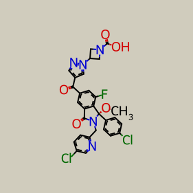 CO[C@]1(c2ccc(Cl)cc2)c2c(F)cc(C(=O)c3cnn(C4CN(C(=O)O)C4)c3)cc2C(=O)N1Cc1ccc(Cl)cn1